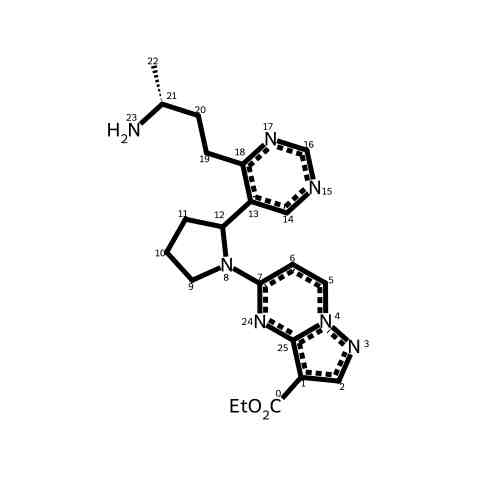 CCOC(=O)c1cnn2ccc(N3CCCC3c3cncnc3CC[C@@H](C)N)nc12